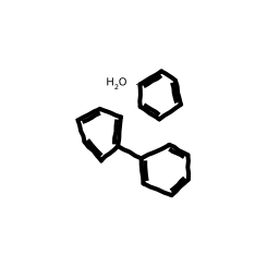 O.[c]1ccccc1.c1ccc(-c2ccccc2)cc1